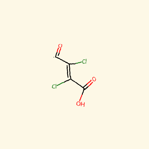 O=[C]C(Cl)=C(Cl)C(=O)O